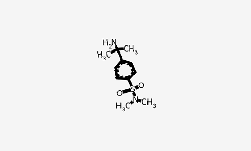 CN(C)S(=O)(=O)c1ccc(C(C)(C)N)cc1